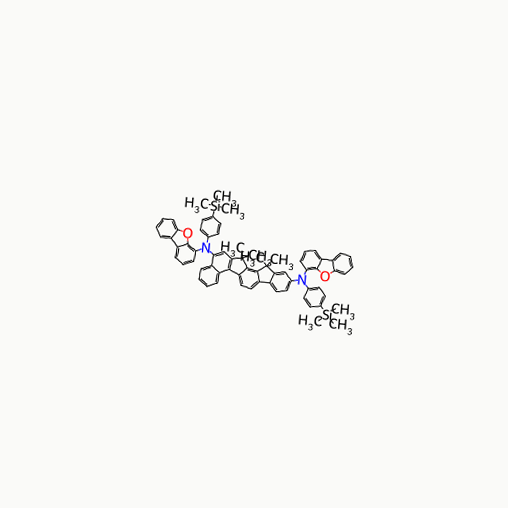 CC1(C)c2cc(N(c3ccc([Si](C)(C)C)cc3)c3cccc4c3oc3ccccc34)ccc2-c2ccc3c(c21)C(C)(C)c1cc(N(c2ccc([Si](C)(C)C)cc2)c2cccc4c2oc2ccccc24)c2ccccc2c1-3